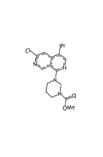 COC(=O)N1CCCN(c2ncc(C(C)C)c3cc(Cl)ncc23)C1